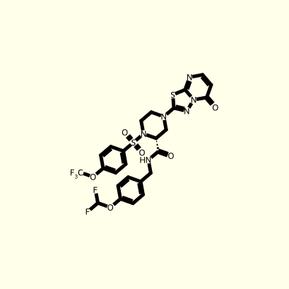 O=C(NCc1ccc(OC(F)F)cc1)[C@H]1CN(c2nn3c(=O)ccnc3s2)CCN1S(=O)(=O)c1ccc(OC(F)(F)F)cc1